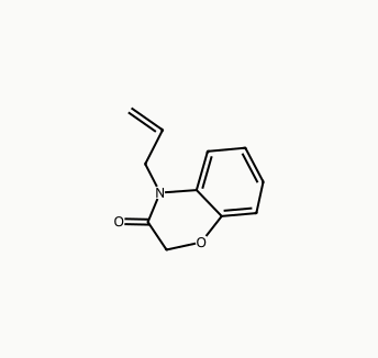 C=CCN1C(=O)COc2ccccc21